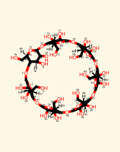 OC[C@H]1OC2OC3[C@H](O)C(O)C(OC4[C@H](O)C(O)C(OC5[C@H](O)C(O)C(OC6[C@H](O)C(O)C(OC7[C@H](O)C(O)C(OC8[C@H](O)C(O)C(OC1[C@H](O)C2O)O[C@@H]8CO)O[C@@H]7CO)O[C@@H]6CO)O[C@@H]5CO)O[C@@H]4CO)O[C@@H]3CO